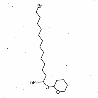 CCCC(CCCCCCCCCCCCBr)OC1CCCCO1